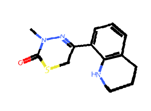 CN1N=C(c2cccc3c2NCCC3)CSC1=O